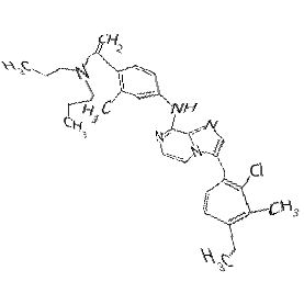 C=C(c1ccc(Nc2nccn3c(-c4ccc(CC)c(C)c4Cl)cnc23)cc1C)N(CCC)CCC